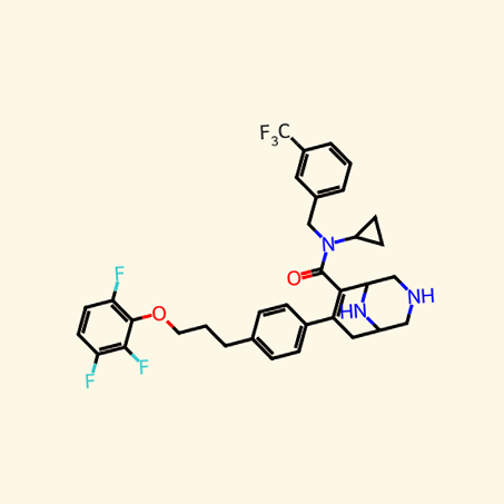 O=C(C1=C(c2ccc(CCCOc3c(F)ccc(F)c3F)cc2)CC2CNCC1N2)N(Cc1cccc(C(F)(F)F)c1)C1CC1